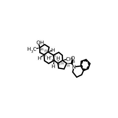 C[C@@]1(O)CC[C@H]2[C@H](CC[C@@H]3[C@@H]2CC[C@]2(C)[C@@H](C(=O)N4CCCc5ccccc54)CC[C@@H]32)C1